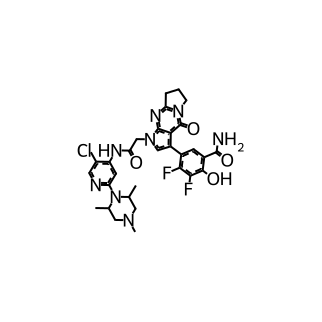 CC1CN(C)CC(C)N1c1cc(NC(=O)Cn2cc(-c3cc(C(N)=O)c(O)c(F)c3F)c3c(=O)n4c(nc32)CCC4)c(Cl)cn1